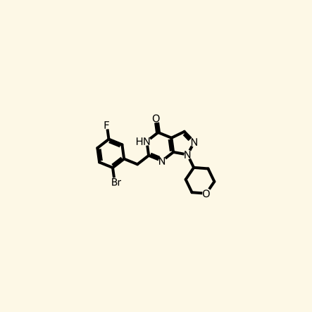 O=c1[nH]c(Cc2cc(F)ccc2Br)nc2c1cnn2C1CCOCC1